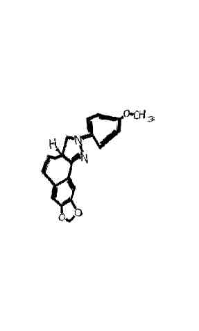 COc1ccc(N2C[C@H]3CCc4cc5c(cc4C3=N2)OCO5)cc1